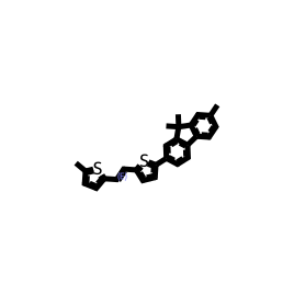 Cc1ccc2c(c1)C(C)(C)c1cc(-c3ccc(/C=C/c4ccc(C)s4)s3)ccc1-2